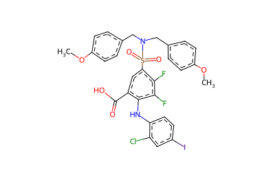 COc1ccc(CN(Cc2ccc(OC)cc2)S(=O)(=O)c2cc(C(=O)O)c(Nc3ccc(I)cc3Cl)c(F)c2F)cc1